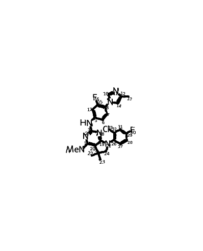 CNc1nc(Nc2ccc(-n3cnc(C)c3)c(F)c2)nc2c1C(C)(C)CN2c1ccc(F)cc1Cl